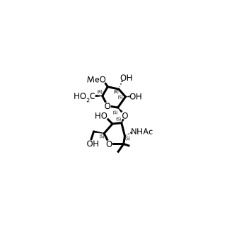 COC1[C@H](C(=O)O)O[C@H](O[C@@H]2C(O)[C@H](CO)OC(C)(C)[C@H]2NC(C)=O)[C@@H](O)[C@H]1O